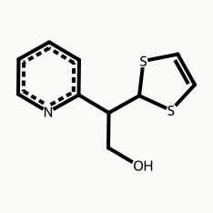 OCC(c1ccccn1)C1SC=CS1